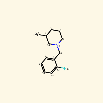 CC(C)C1CCCN(Cc2ccccc2F)C1